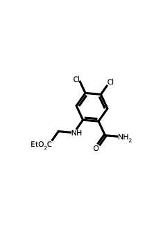 CCOC(=O)CNc1cc(Cl)c(Cl)cc1C(N)=O